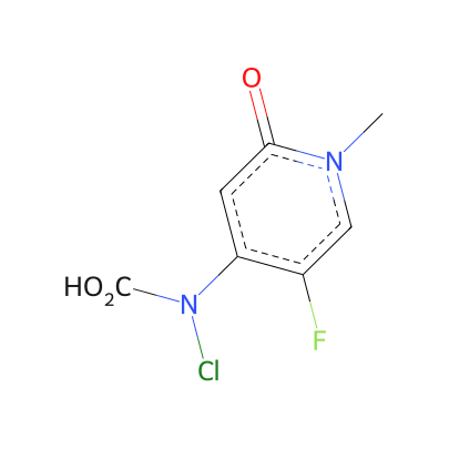 Cn1cc(F)c(N(Cl)C(=O)O)cc1=O